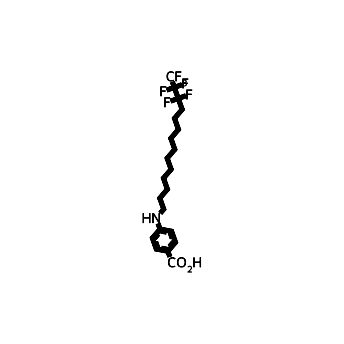 O=C(O)c1ccc(NCCCCCCCCCCCC(F)(F)C(F)(F)C(F)(F)F)cc1